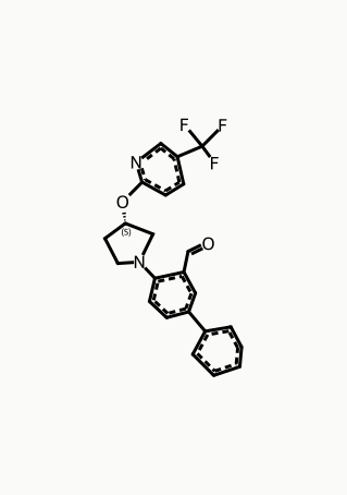 O=Cc1cc(-c2ccccc2)ccc1N1CC[C@H](Oc2ccc(C(F)(F)F)cn2)C1